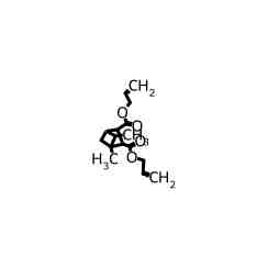 C=CCOC(=O)C1C2CC(C)(C2C)C1C(=O)OCC=C